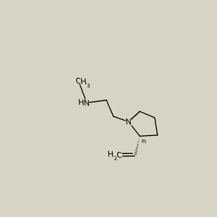 C=C[C@H]1CCCN1CCNC